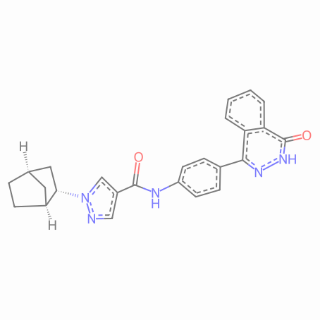 O=C(Nc1ccc(-c2n[nH]c(=O)c3ccccc23)cc1)c1cnn([C@H]2C[C@@H]3CC[C@H]2C3)c1